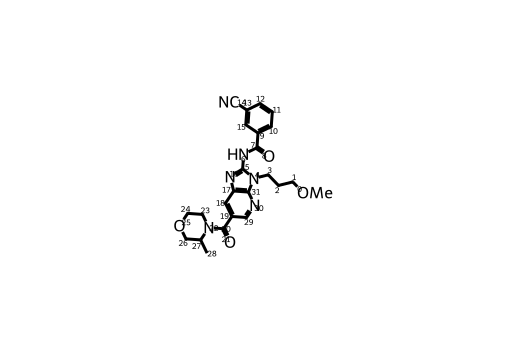 COCCCn1c(NC(=O)c2cccc(C#N)c2)nc2cc(C(=O)N3CCOCC3C)cnc21